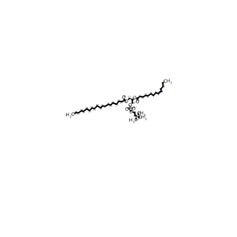 CCCC/C=C\CCCCCCCC(=O)O[C@H](COC(=O)CCCCCCCCCCCCCCCCCCC)COP(=O)([O-])OCC[N+](C)(C)C